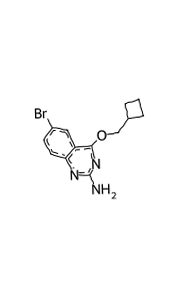 Nc1nc(OCC2CCC2)c2cc(Br)ccc2n1